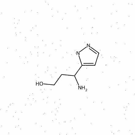 NC(CCO)C1=CC=N[N]1